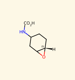 O=C(O)NC1CC[C@@H]2OC2C1